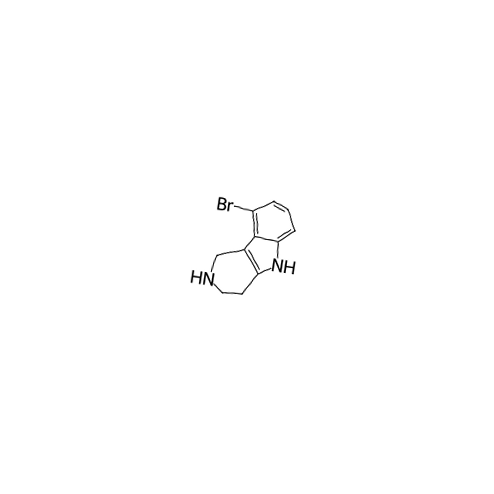 Brc1cccc2[nH]c3c(c12)CNCC3